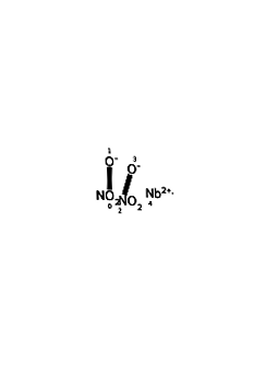 O=[N+]([O-])[O-].O=[N+]([O-])[O-].[Nb+2]